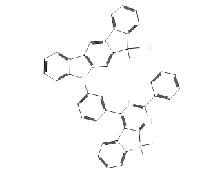 CC1(C)c2ccccc2-c2cc3c4ccccc4n(-c4cccc(-c5nc(-c6ccccc6)nc6c5-c5ccccc5[Si]6(C)C)c4)c3cc21